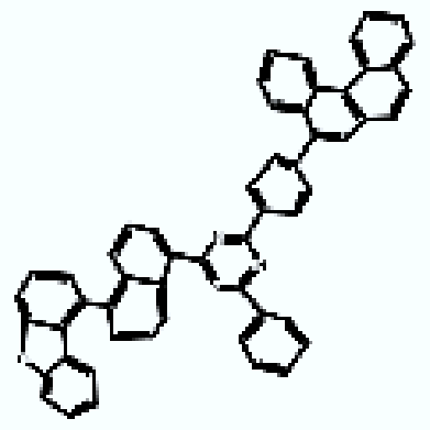 c1ccc(-c2nc(-c3ccc(-c4cc5ccc6ccccc6c5c5ccccc45)cc3)nc(-c3cccc4c(-c5cccc6oc7ccccc7c56)cccc34)n2)cc1